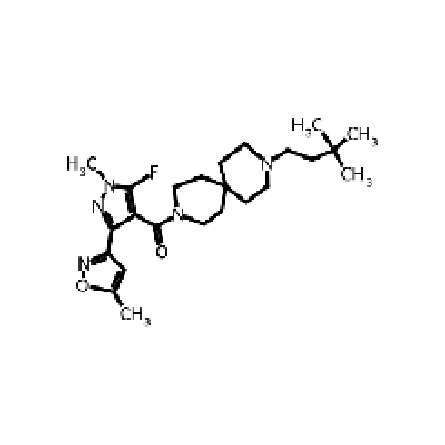 Cc1cc(-c2nn(C)c(F)c2C(=O)N2CCC3(CCN(CCC(C)(C)C)CC3)CC2)no1